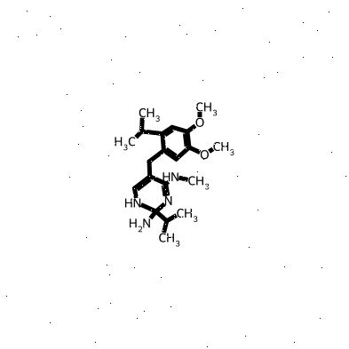 CNC1=NC(N)(C(C)C)NC=C1Cc1cc(OC)c(OC)cc1C(C)C